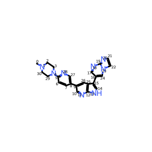 CN1CCN(c2ccc(-c3cnc4[nH]cc(-c5cnc6nccn6c5)c4c3)cn2)CC1